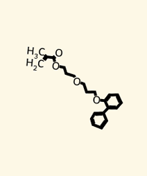 C=C(C)C(=O)OCCCOCCCOc1ccccc1-c1ccccc1